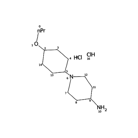 CCCOC1CCC(N2CCC(N)CC2)CC1.Cl.Cl